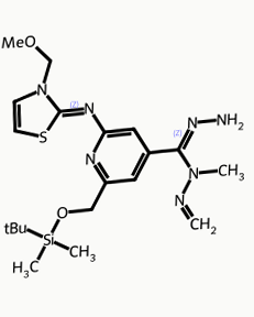 C=NN(C)/C(=N\N)c1cc(CO[Si](C)(C)C(C)(C)C)nc(/N=c2\sccn2COC)c1